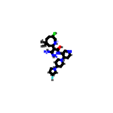 CCCC1(CC)CCC(Cl)/C=N\C(C(C(=O)NC2CNCCC2N2CCC(N3CC[C@H](F)C3)CC2)C(N)N)C1